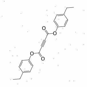 CCc1ccc(OC(=O)C#CC(=O)Oc2ccc(CC)cc2)cc1